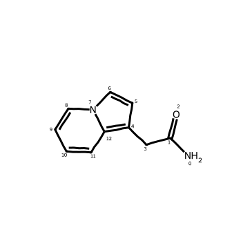 NC(=O)Cc1ccn2ccccc12